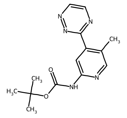 Cc1cnc(NC(=O)OC(C)(C)C)cc1-c1nccnn1